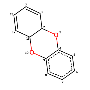 C1=CC2Oc3ccccc3OC2C=C1